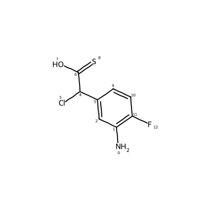 Nc1cc(C(Cl)C(O)=S)ccc1F